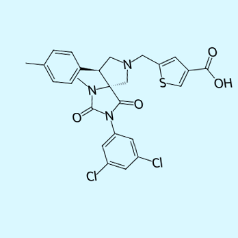 Cc1ccc([C@H]2CN(Cc3cc(C(=O)O)cs3)C[C@@]23C(=O)N(c2cc(Cl)cc(Cl)c2)C(=O)N3C)cc1